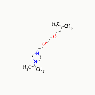 CC(C)CCOCCOCCN1CCN(C(C)C)CC1